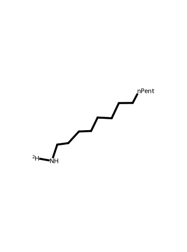 [2H]NCCCCCCCCCCCCC